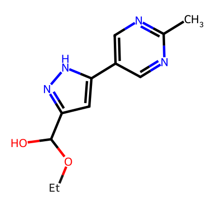 CCOC(O)c1cc(-c2cnc(C)nc2)[nH]n1